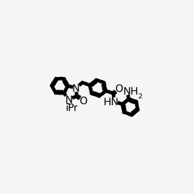 CC(C)n1c(=O)n(Cc2ccc(C(=O)Nc3ccccc3N)cc2)c2ccccc21